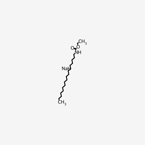 CCCCCCCCCCCCCCCCCCNC(=O)OCC.[NaH]